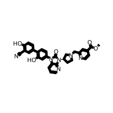 COC(=O)c1ccnc(CN2CC[C@H](n3c(=O)n(-c4ccc(-c5ccc(O)c(C#N)c5)c(O)c4)c4cccnc43)C2)c1